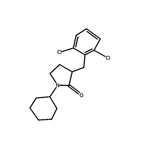 O=C1C(Cc2c(Cl)cccc2Cl)CCN1C1CCCCC1